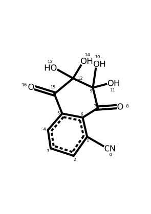 N#Cc1cccc2c1C(=O)C(O)(O)C(O)(O)C2=O